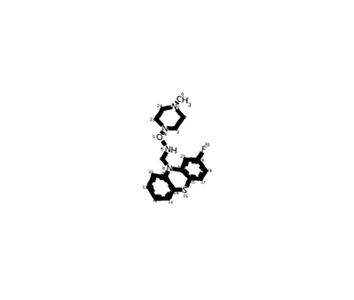 CN1CCN(ONCN2c3ccccc3Sc3ccc(F)cc32)CC1